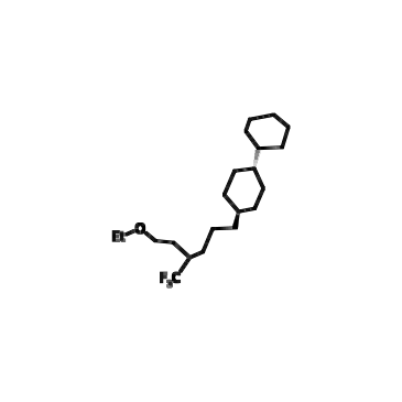 CCOCCC(CCC[C@H]1CC[C@H](C2CCCCC2)CC1)C(F)(F)F